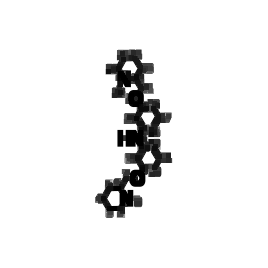 CN1CCCCC1COc1cccc(Nc2cccc(OCC3CCCCN3C)c2)c1